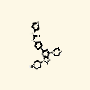 O=C(Nc1ccncc1)Nc1ccc(-c2nc(N3CCOCC3)c3nnn(C4CCNCC4)c3n2)cc1